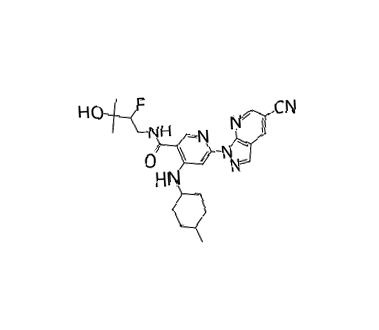 CC1CCC(Nc2cc(-n3ncc4cc(C#N)cnc43)ncc2C(=O)NCC(F)C(C)(C)O)CC1